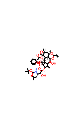 C=CC1O[C@H]2C[C@H]3OC[C@@]3(OC(C)=O)[C@H]3[C@H](OC(=O)c4ccccc4)[C@]4(C(C)(C)O)C[C@H](OC(=O)C(O)[C@H](CC(C)C)NC(=O)OC(C)(C)C)C(C)=C4[C@H](O)[C@H](O1)[C@]23C